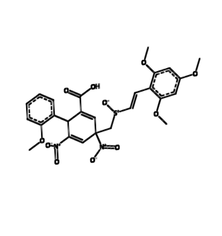 COc1cc(OC)c(/C=C/[S+]([O-])CC2([N+](=O)[O-])C=C(C(=O)O)C(c3ccccc3OC)C([N+](=O)[O-])=C2)c(OC)c1